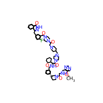 CCOc1cncnc1CNCC(=O)N1CCC[C@H](c2cccc(C(=O)N[C@@H](C(=O)N3CCN(CC4CCN(CC(=O)N5CCN(C(=O)c6cc(Cc7n[nH]c(=O)c8ccccc78)ccc6F)CC5)CC4)CC3)C3CCCCC3)c2)C1